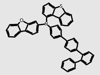 c1ccc(-c2ccccc2-c2ccc(-c3ccc(N(c4ccc5c(c4)oc4ccccc45)c4cccc5sc6ccccc6c45)cc3)cc2)cc1